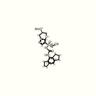 CO[C@H]1COc2c([S@](=O)(=NC(=O)Nc3c4c(cc5c3CCC5)CCC4)NC#N)cnn2C1